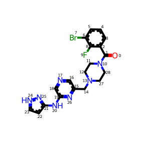 O=C(c1cccc(Br)c1F)N1CCN(Cc2cncc(Nc3cc[nH]n3)n2)CC1